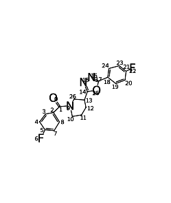 O=C(c1ccc(F)cc1)N1CCCC(c2nnc(-c3ccc(F)cc3)o2)C1